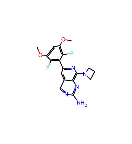 COc1cc(OC)c(F)c(-c2cc3cnc(N)nc3c(N3CCC3)n2)c1F